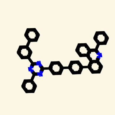 c1ccc(-c2cccc(-c3nc(-c4ccccc4)nc(-c4ccc(-c5ccc(-c6cccc7nc(-c8ccccc8)c8ccccc8c67)cc5)cc4)n3)c2)cc1